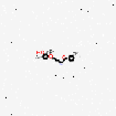 CCCc1c(OCCCC/C=C\[C@H]2O[C@@H]2c2cccc(C(F)(F)F)c2)ccc(C(C)=O)c1O